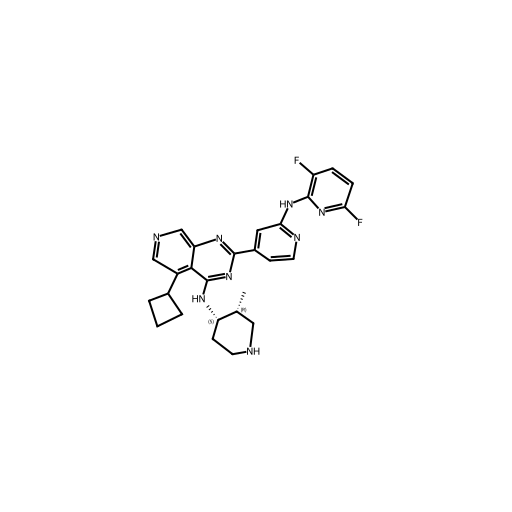 C[C@@H]1CNCC[C@@H]1Nc1nc(-c2ccnc(Nc3nc(F)ccc3F)c2)nc2cncc(C3CCC3)c12